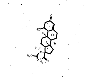 CC(=O)O[C@]1(C(C)=O)CC[C@H]2[C@@H]3CCC4=CC(=O)CC(O)[C@]4(C)[C@H]3CC[C@@]21C